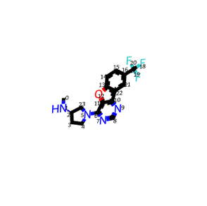 CN[C@H]1CCN(c2ncnc3c2oc2ccc(C(F)(F)F)cc23)C1